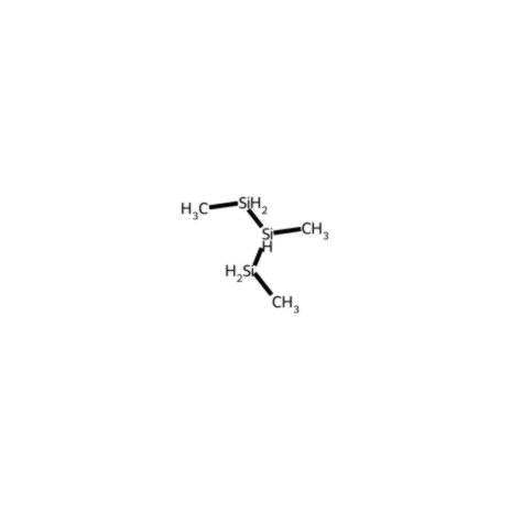 C[SiH2][SiH](C)[SiH2]C